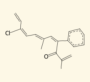 C=C\C(Cl)=C/C=C(C)/C=C(\C(=O)C(=C)C)c1ccccc1